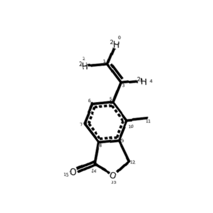 [2H]C([2H])=C([2H])c1ccc2c(c1C)COC2=O